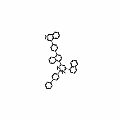 c1ccc(-c2ccc(-c3nc(-c4cccc5ccccc45)cc(-c4ccc(-c5ccc(-c6cncc7ccccc67)cc5)c5ccccc45)n3)cc2)cc1